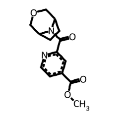 COC(=O)c1ccnc(C(=O)N2C3CCC2COC3)c1